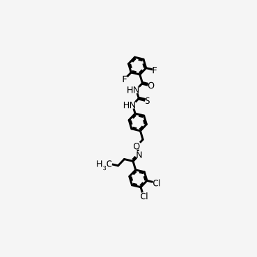 CCC/C(=N\OCc1ccc(NC(=S)NC(=O)c2c(F)cccc2F)cc1)c1ccc(Cl)c(Cl)c1